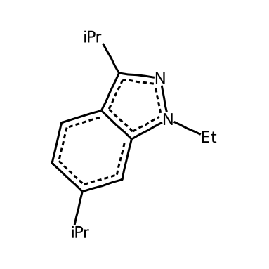 CCn1nc(C(C)C)c2ccc(C(C)C)cc21